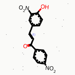 O=C(/C=C/c1ccc(O)c([N+](=O)[O-])c1)c1ccc([N+](=O)[O-])cc1